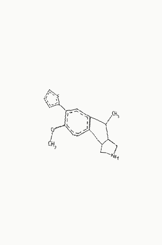 COc1cc2c(cc1-c1cccs1)C(C)C1CNCC21